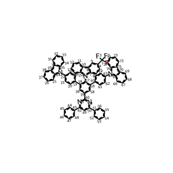 FC(F)(F)c1ccc2c(c1)c1ccccc1n2-c1c(-c2ccc(-n3c4ccccc4c4ccccc43)cc2)cc(-c2nc(-c3ccccc3)cc(-c3ccccc3)n2)cc1-c1ccc(-n2c3ccccc3c3ccccc32)cc1